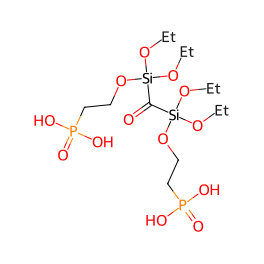 CCO[Si](OCC)(OCCP(=O)(O)O)C(=O)[Si](OCC)(OCC)OCCP(=O)(O)O